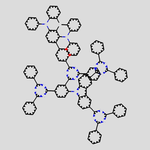 c1ccc(-c2nc(-c3ccccc3)nc(-c3ccc(-n4c5ccc(-c6nc(-c7ccccc7)nc(-c7ccccc7)n6)cc5c5cc(-c6nc(-c7ccccc7)nc(-c7ccccc7)n6)ccc54)c(-c4nc(-c5ccccc5)nc(-c5ccc(-c6ccc7c8c6N(c6ccccc6)c6ccccc6B8c6ccccc6N7c6ccccc6)cc5)n4)c3)n2)cc1